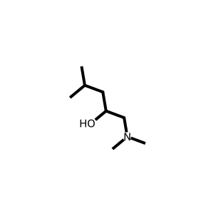 CC(C)CC(O)CN(C)C